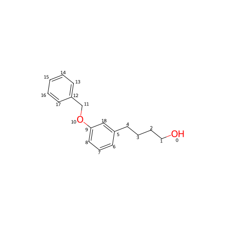 OCCCCc1cccc(OCc2ccccc2)c1